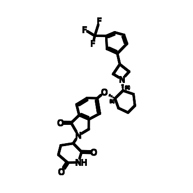 O=C1CCC(N2Cc3cc(O[C@H]4CCCC[C@H]4N4CC(c5cccc(C(F)(F)F)c5)C4)ccc3C2=O)C(=O)N1